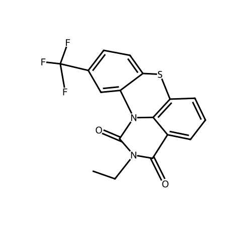 CCn1c(=O)c2cccc3c2n(c1=O)-c1cc(C(F)(F)F)ccc1S3